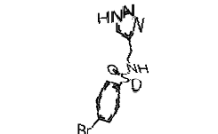 O=S(=O)(NCCc1c[nH]nn1)c1ccc(Br)cc1